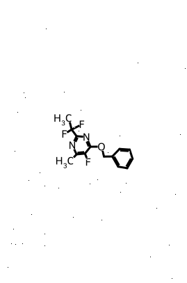 Cc1nc(C(C)(F)F)nc(OCc2ccccc2)c1F